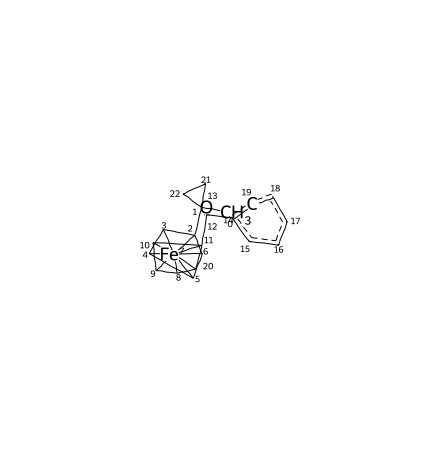 CC1([C]23[CH]4[CH]5[CH]6[CH]2[Fe]56432789[CH]3[CH]2[CH]7[C]8(C(=O)c2ccccc2)[CH]39)CC1